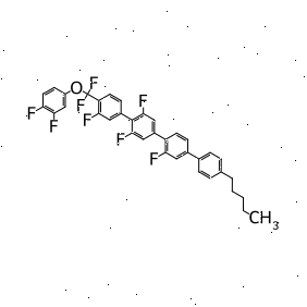 CCCCCc1ccc(-c2ccc(-c3cc(F)c(-c4ccc(C(F)(F)Oc5ccc(F)c(F)c5)c(F)c4)c(F)c3)c(F)c2)cc1